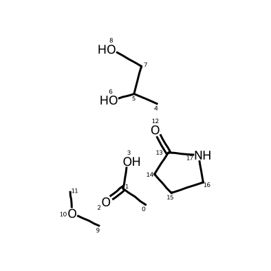 CC(=O)O.CC(O)CO.COC.O=C1CCCN1